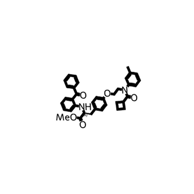 COC(=O)[C@H](Cc1ccc(OCCN(C(=O)C2CCC2)c2cccc(C)c2)cc1)Nc1ccccc1C(=O)c1ccccc1